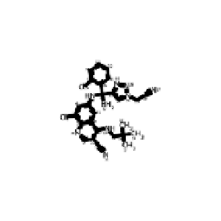 BC(Nc1cc(Cl)c2ncc(C#N)c(NCC(C)(C)C)c2c1)(c1cn(CC#N)nn1)c1ccccc1Cl